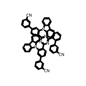 N#Cc1cccc(-c2ccc(-c3nc(-c4ccccc4-c4cccc(C#N)c4)nc(-c4ccc(-c5cccc(C#N)c5)cc4-n4c5ccccc5c5ccccc54)n3)c(-n3c4ccccc4c4ccccc43)c2)c1